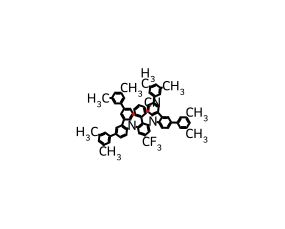 Cc1cc(C)cc(-c2ccc3c(c2)c2cc(-c4cc(C)cc(C)c4)ccc2n3-c2cc(C(F)(F)F)cc(-n3c4ccc(-c5cc(C)cc(C)c5)cc4c4cc(-c5cc(C)cc(C)c5)ccc43)c2-c2cccc(C#N)c2)c1